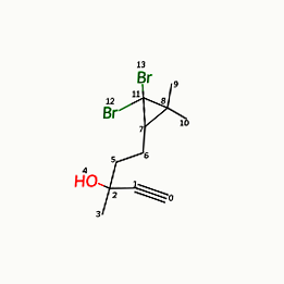 C#CC(C)(O)CCC1C(C)(C)C1(Br)Br